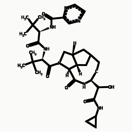 CC(C)(C)[C@H](NC(=O)c1cnccn1)C(=O)N[C@H](C(=O)N1C[C@@H]2CC3CC[C@@H](C(O)C(=O)NC4CC4)NC(=O)[C@@H]1[C@H]2C3)C(C)(C)C